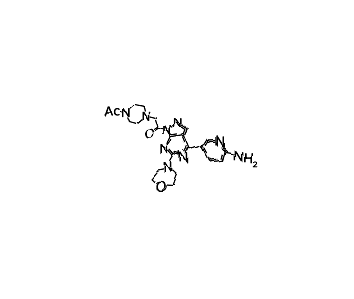 CC(=O)N1CCN(CC(=O)n2ncc3c(-c4ccc(N)nc4)nc(N4CCOCC4)nc32)CC1